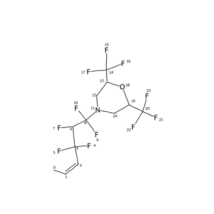 C/C=C\C(F)(F)C(F)C(F)(F)N1CC(C(F)(F)F)OC(C(F)(F)F)C1